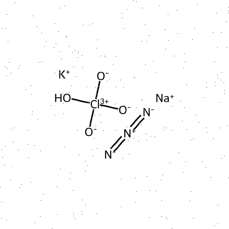 [K+].[N-]=[N+]=[N-].[Na+].[O-][Cl+3]([O-])([O-])O